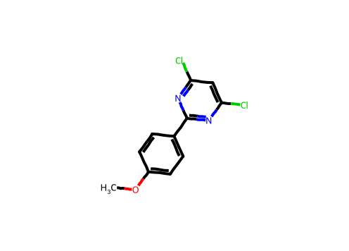 COc1ccc(-c2nc(Cl)cc(Cl)n2)cc1